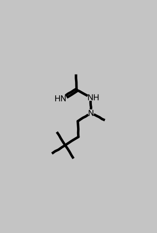 CC(=N)NN(C)CCC(C)(C)C